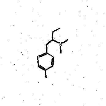 CCC(Cc1ccc(C)cc1)N(C)C